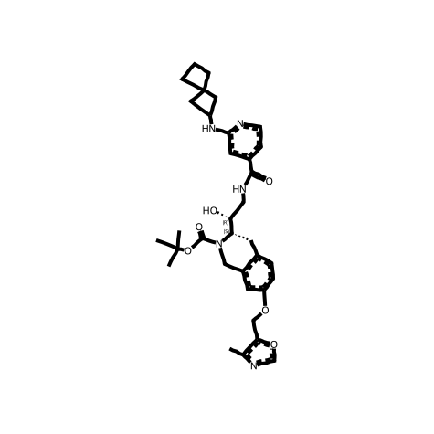 Cc1ncoc1COc1ccc2c(c1)CN(C(=O)OC(C)(C)C)[C@H]([C@H](O)CNC(=O)c1ccnc(NC3CC4(CCC4)C3)c1)C2